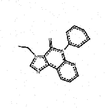 CCn1cnc2c3cccnc3n(-c3ccccc3)c(=O)c21